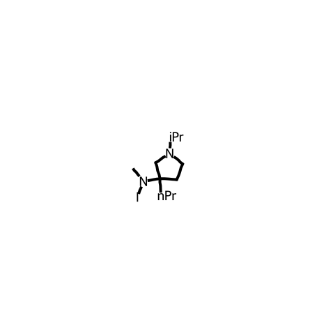 CCCC1(N(C)I)CCN(C(C)C)C1